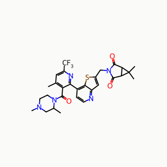 Cc1cc(C(F)(F)F)nc(-c2ccnc3cc(CN4C(=O)C5C(C4=O)C5(C)C)sc23)c1C(=O)N1CCN(C)CC1C